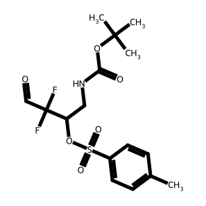 Cc1ccc(S(=O)(=O)OC(CNC(=O)OC(C)(C)C)C(F)(F)C=O)cc1